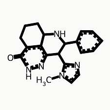 Cn1ccnc1C1c2n[nH]c(=O)c3c2C(CCC3)NC1c1ccccc1